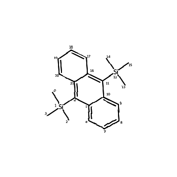 C[Si](C)(C)c1c2ccccc2c([Si](C)(C)C)c2ccccc12